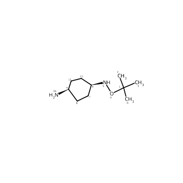 CC(C)(C)ON[C@H]1CC[C@@H](N)CC1